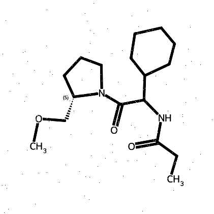 CCC(=O)NC(C(=O)N1CCC[C@H]1COC)C1CCCCC1